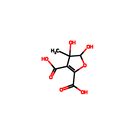 CC1(O)C(C(=O)O)=C(C(=O)O)OC1O